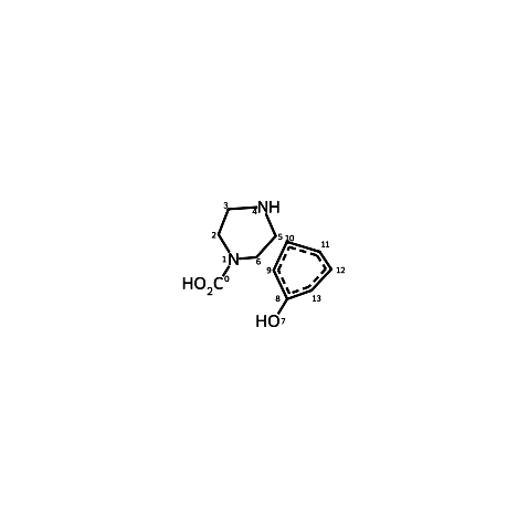 O=C(O)N1CCNCC1.Oc1ccccc1